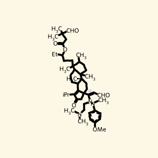 CCC(CCC1(C)C(C)CCC2(C)C1CCC1C3=C(C(C)C)C(=O)CC3(/C(=C/C=O)N(CCN(C)C)N(C)c3ccc(OC)cc3)CC[C@]12C)OC(=O)CC(C)(C)C=O